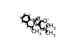 CC(Cc1ccccc1)[n+]1noc([O-])c1CN(C)C